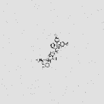 COc1ccc(C(N[C@H](C)C(=O)NCC(=O)N[C@@H](Cc2ccc(F)cc2)C(=O)NCC(N)=O)(c2ccccc2)c2ccc(OC)cc2)cc1